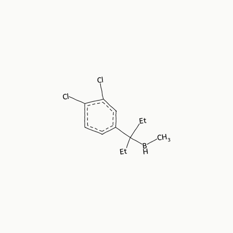 CBC(CC)(CC)c1ccc(Cl)c(Cl)c1